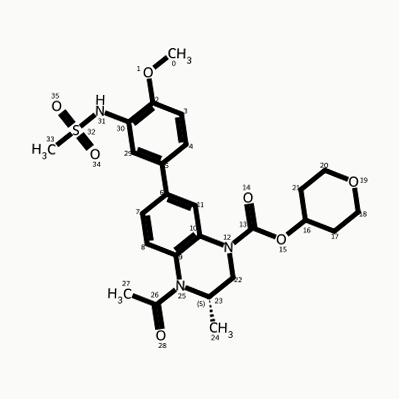 COc1ccc(-c2ccc3c(c2)N(C(=O)OC2CCOCC2)C[C@H](C)N3C(C)=O)cc1NS(C)(=O)=O